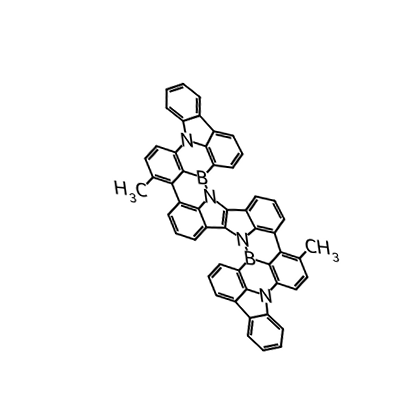 Cc1ccc2c3c1-c1cccc4c1n(c1c5cccc6c5n(c41)B1c4c(ccc(C)c4-6)-n4c5ccccc5c5cccc1c54)B3c1cccc3c4ccccc4n-2c13